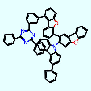 c1ccc(-c2ccc3c(c2)c2ccccc2n3-c2cc3oc4ccccc4c3cc2-c2cccc3c2oc2cccc(-c4cccc(-c5nc(-c6ccccc6)nc(-c6ccccc6)n5)c4)c23)cc1